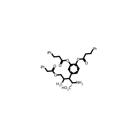 CC(C)CCC(=O)Oc1ccc(C(C(C)COC(=O)CC(C)C)[C@H](N)C(=O)O)cc1OC(=O)CCC(C)C